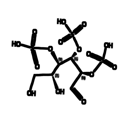 O=C[C@H](OS(=O)(=O)O)[C@@H](OS(=O)(=O)O)[C@H](OS(=O)(=O)O)[C@H](O)CO